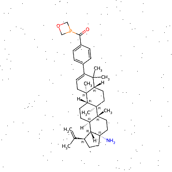 C=C(C)[C@@H]1CC[C@]2(N)CC[C@]3(C)[C@H](CC[C@@H]4[C@@]5(C)CC=C(c6ccc(C(=O)P7COC7)cc6)C(C)(C)[C@@H]5CC[C@]43C)[C@@H]12